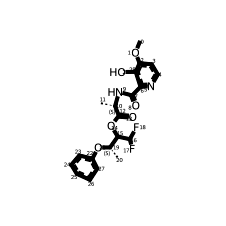 COc1ccnc(C(=O)N[C@@H](C)C(=O)OC(C(F)F)[C@H](C)Oc2ccccc2)c1O